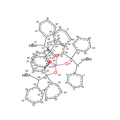 CCCCC(c1ccccc1)C(OP(=O)(OC(c1ccccc1)(c1ccccc1)C(CCCC)c1ccccc1)OC(c1ccccc1)(c1ccccc1)C(CCCC)c1ccccc1)(c1ccccc1)c1ccccc1